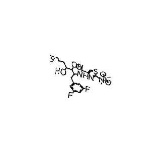 CSCCCC(O)C(O)C(Cc1cc(F)cc(F)c1)NC(=O)c1csc(N(C)S(C)(=O)=O)n1